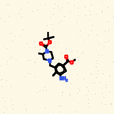 COC(=O)c1cc(N)c(C)c(CN2CCN(C(=O)OC(C)(C)C)C(C)C2)c1